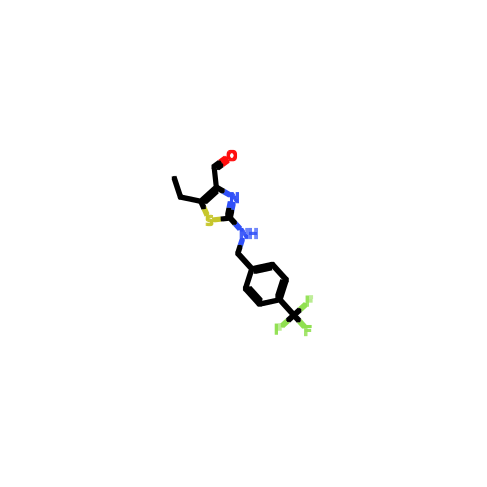 CCc1sc(NCc2ccc(C(F)(F)F)cc2)nc1C=O